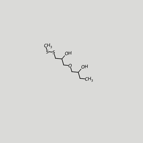 CCC(O)COCC(O)CSSC